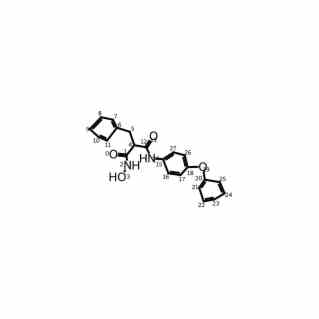 O=C(NO)C(Cc1ccccc1)C(=O)Nc1ccc(Oc2ccccc2)cc1